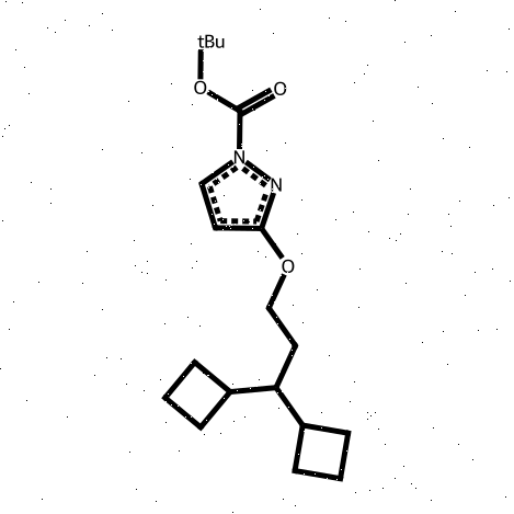 CC(C)(C)OC(=O)n1ccc(OCCC(C2CCC2)C2CCC2)n1